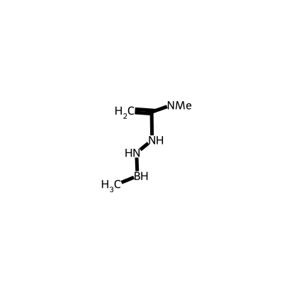 C=C(NC)NNBC